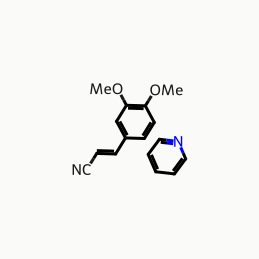 COc1ccc(C=CC#N)cc1OC.c1ccncc1